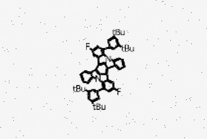 CC(C)(C)c1cc(-c2cc(F)cc3c4c5c6ccccc6n6c7c(-c8cc(C(C)(C)C)cc(C(C)(C)C)c8)cc(F)cc7c(c7c8ccccc8n(c23)c74)c56)cc(C(C)(C)C)c1